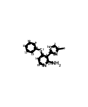 Cc1csc(-c2c(Sc3ccccc3)ccnc2N)n1